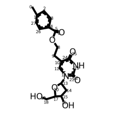 Cc1ccc(C(=O)OCCc2cn(C3CC(O)C(CO)O3)c(=O)[nH]c2=O)cc1